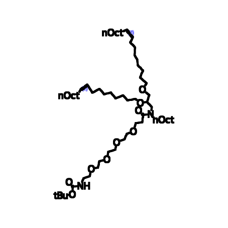 CCCCCCCC/C=C\CCCCCCCCOCC(CN(CCCCCCCC)C(=O)CCOCCOCCOCCOCCNC(=O)OC(C)(C)C)OCCCCCCCC/C=C\CCCCCCCC